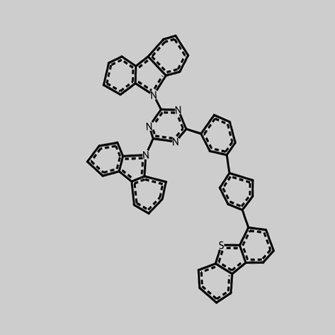 c1cc(-c2ccc(-c3cccc4c3sc3ccccc34)cc2)cc(-c2nc(-n3c4ccccc4c4ccccc43)nc(-n3c4ccccc4c4ccccc43)n2)c1